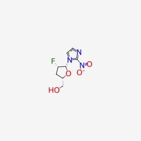 O=[N+]([O-])c1nccn1[C@@H]1O[C@H](CO)C[C@@H]1F